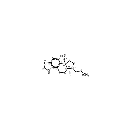 Br.CCCN1CC[C@H]2c3ccc4c(c3CC[C@@H]21)OCO4